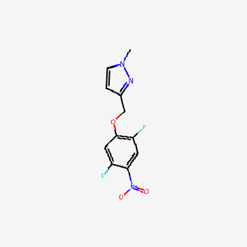 Cn1ccc(COc2cc(F)c([N+](=O)[O-])cc2F)n1